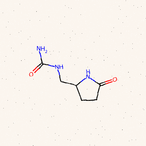 NC(=O)NCC1CCC(=O)N1